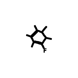 CC1=C(C)C(C)C(C)C(F)=C1C